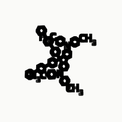 Cc1ccc(N(c2ccc(C)cc2)c2ccc3c(c2)C(c2ccc(-c4ccc(-c5ccccc5)cc4)cc2)(c2ccc(-c4ccc(-c5ccccc5)cc4)cc2)c2cc(N(c4ccc(C)cc4)c4ccc(C)cc4)ccc2-3)cc1